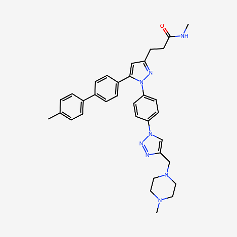 CNC(=O)CCc1cc(-c2ccc(-c3ccc(C)cc3)cc2)n(-c2ccc(-n3cc(CN4CCN(C)CC4)nn3)cc2)n1